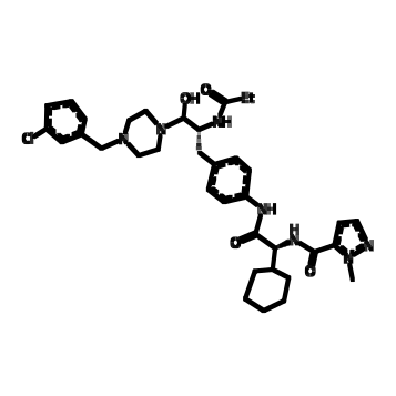 CCC(=O)N[C@H](Cc1ccc(NC(=O)[C@@H](NC(=O)c2ccnn2C)C2CCCCC2)cc1)C(O)N1CCN(Cc2cccc(Cl)c2)CC1